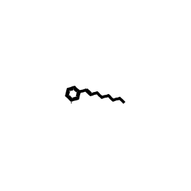 CCCCCCC=Cc1c[c]ccc1